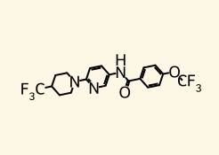 O=C(Nc1ccc(N2CCC(C(F)(F)F)CC2)nc1)c1ccc(OC(F)(F)F)cc1